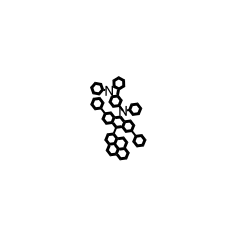 c1ccc(-c2ccc3c(N(c4ccccc4)c4ccc5c(c4)c4ccccc4n5-c4ccccc4)c4cc(-c5ccccc5)ccc4c(-c4ccc5ccc6cccc7ccc4c5c67)c3c2)cc1